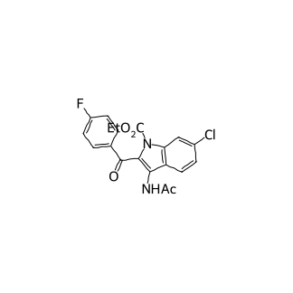 CCOC(=O)n1c(C(=O)c2ccc(F)cc2)c(NC(C)=O)c2ccc(Cl)cc21